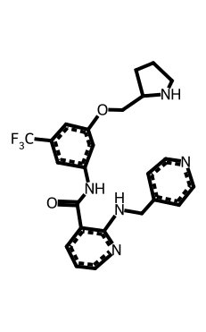 O=C(Nc1cc(OCC2CCCN2)cc(C(F)(F)F)c1)c1cccnc1NCc1ccncc1